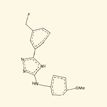 COc1ccc(Nc2nnc(-c3cccc(CF)c3)[nH]2)cc1